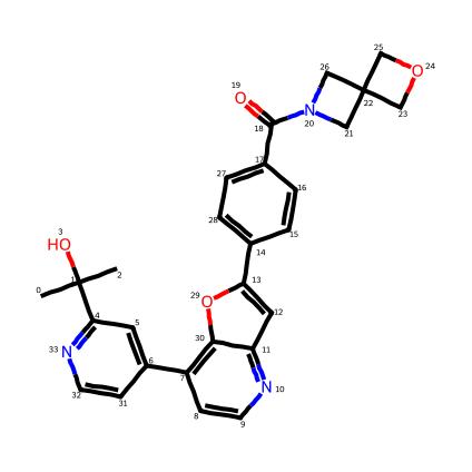 CC(C)(O)c1cc(-c2ccnc3cc(-c4ccc(C(=O)N5CC6(COC6)C5)cc4)oc23)ccn1